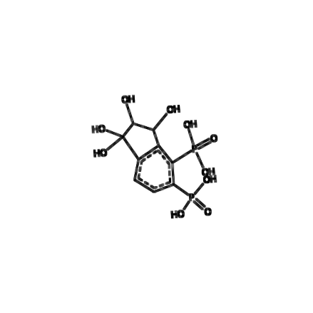 O=P(O)(O)c1ccc2c(c1P(=O)(O)O)C(O)C(O)C2(O)O